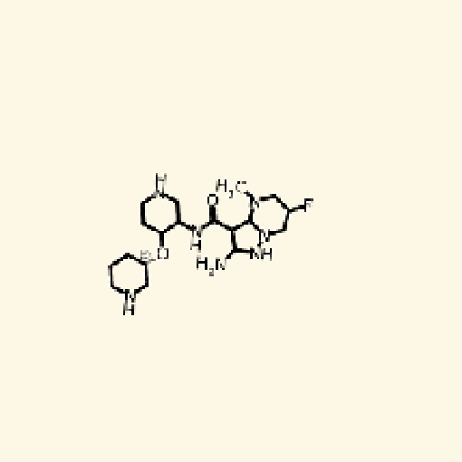 CN1CC(F)CN2NC(N)C(C(=O)NC3CNCCC3O[C@H]3CCCNC3)C12